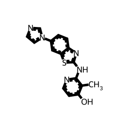 Cc1c(O)ccnc1Nc1nc2ccc(-n3ccnc3)cc2s1